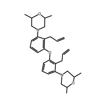 C=CCc1c(Oc2cccc(N3CC(C)OC(C)C3)c2CC=C)cccc1N1CC(C)OC(C)C1